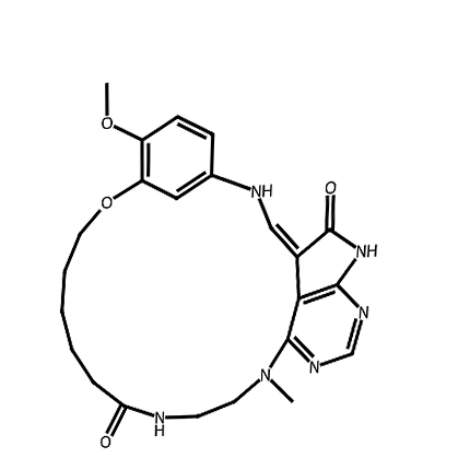 COc1ccc2cc1OCCCCCC(=O)NCCN(C)c1ncnc3c1/C(=C/N2)C(=O)N3